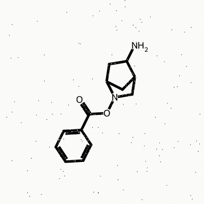 NC1CC2CC1CN2OC(=O)c1ccccc1